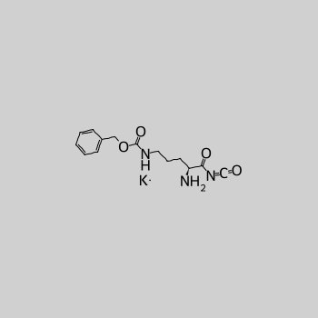 N[C@@H](CCCNC(=O)OCc1ccccc1)C(=O)N=C=O.[K]